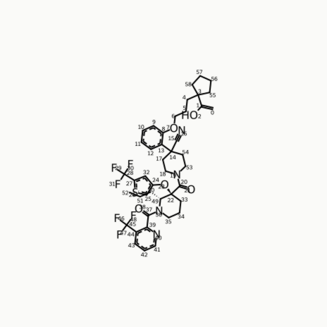 C=C(O)C1(CCCOc2ccccc2C2(C#N)CCN(C(=O)[C@]3(Oc4csc(C(F)(F)F)c4)CCCN(C(=O)c4ncccc4C(F)(F)F)[C@@H]3CCC)CC2)CCCC1